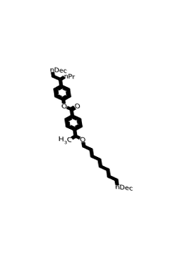 CCCCCCCCCCCCCCCCCCOC(C)c1ccc(C(=O)Oc2ccc(C(CCC)CCCCCCCCCCC)cc2)cc1